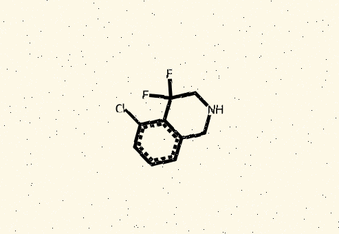 FC1(F)CNCc2cccc(Cl)c21